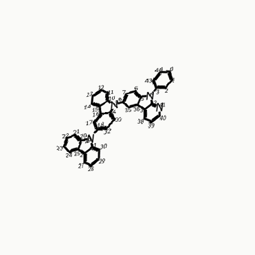 c1ccc(-n2c3ccc(-n4c5ccccc5c5cc(-n6c7ccccc7c7ccccc76)ccc54)cc3c3cccnc32)cc1